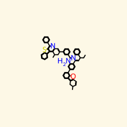 CCC(/C=C(\N=C(/N)c1cccc(C2=Cc3nc(-c4ccccc4)c4sc5ccccc5c4c3C(C)C2)c1)c1ccc(-c2cccc3c4c(oc23)C=CC(C)C4)cc1)c1ccccc1